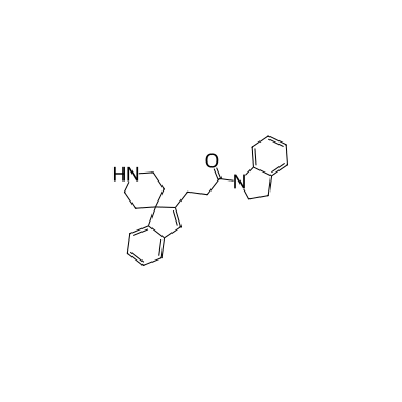 O=C(CCC1=Cc2ccccc2C12CCNCC2)N1CCc2ccccc21